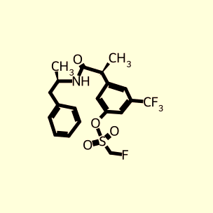 C[C@H](Cc1ccccc1)NC(=O)[C@@H](C)c1cc(OS(=O)(=O)CF)cc(C(F)(F)F)c1